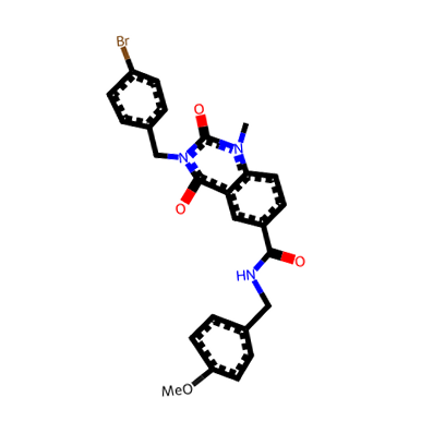 COc1ccc(CNC(=O)c2ccc3c(c2)c(=O)n(Cc2ccc(Br)cc2)c(=O)n3C)cc1